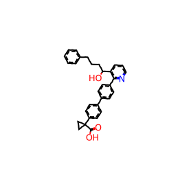 O=C(O)C1(c2ccc(-c3ccc(-c4ncccc4C(O)CCCc4ccccc4)cc3)cc2)CC1